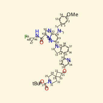 COc1ccc(CN(C)c2cc(N3CCc4c(-c5ccc(OC6CC7(CCN(C(=O)OC(C)(C)C)CC7)C6)cn5)cccc43)nn3c(C(=O)N[C@@H]4C[C@@H]4F)cnc23)cc1